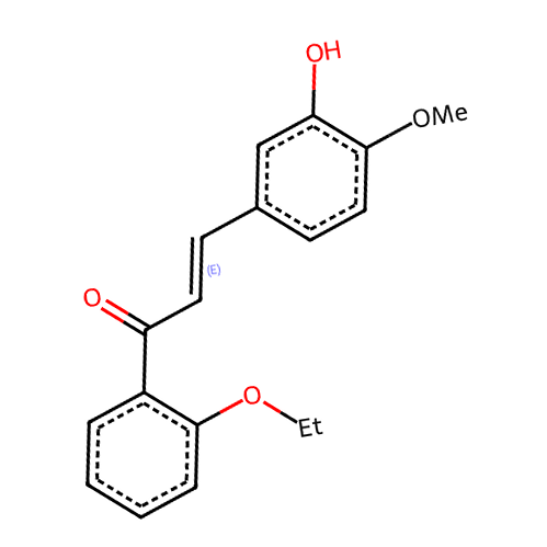 CCOc1ccccc1C(=O)/C=C/c1ccc(OC)c(O)c1